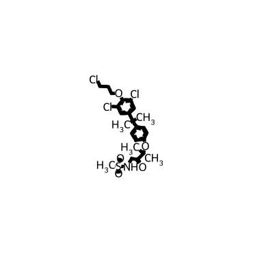 CC(C)(Oc1ccc(C(C)(C)c2cc(Cl)c(OCCCCl)c(Cl)c2)cc1)C(=O)CNS(C)(=O)=O